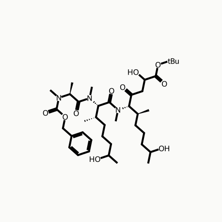 CC(O)CCC[C@H](C)[C@@H](C(=O)CC(O)C(=O)OC(C)(C)C)N(C)C(=O)[C@H]([C@@H](C)CCCC(C)O)N(C)C(=O)[C@H](C)N(C)C(=O)OCc1ccccc1